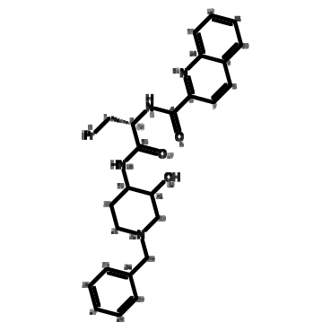 CC(C)C[C@H](NC(=O)c1ccc2ccccc2n1)C(=O)NC1CCN(Cc2ccccc2)CC1O